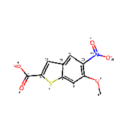 COc1cc2sc(C(=O)O)cc2cc1[N+](=O)[O-]